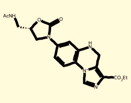 CCOC(=O)C1=C2CNc3cc(N4C[C@H](CNC(C)=O)OC4=O)ccc3[N+]2C=N1